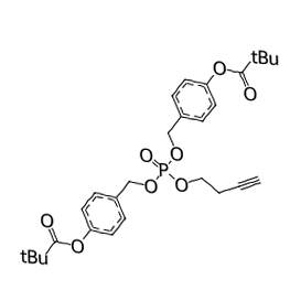 C#CCCOP(=O)(OCc1ccc(OC(=O)C(C)(C)C)cc1)OCc1ccc(OC(=O)C(C)(C)C)cc1